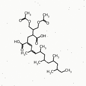 CCC(C)CC(C)CC(C)CC(C)C=C(C)C=C(CC(C(=O)O)C(COC(C)=O)COC(C)=O)C(=O)O